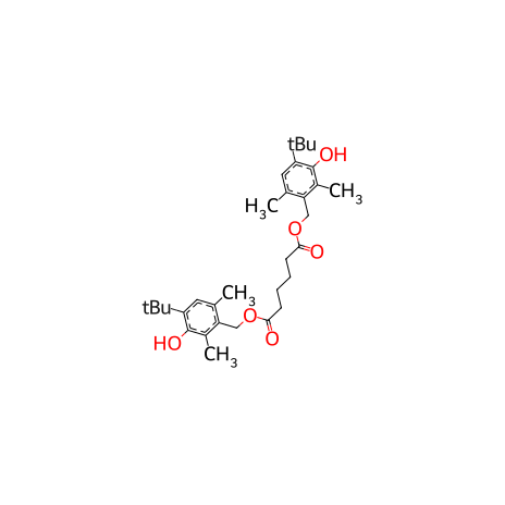 Cc1cc(C(C)(C)C)c(O)c(C)c1COC(=O)CCCCC(=O)OCc1c(C)cc(C(C)(C)C)c(O)c1C